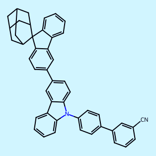 N#Cc1cccc(-c2ccc(-n3c4ccccc4c4cc(-c5ccc6c(c5)-c5ccccc5C65C6CC7CC(C6)CC5C7)ccc43)cc2)c1